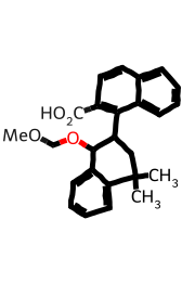 COCOC1c2ccccc2C(C)(C)CC1c1c(C(=O)O)ccc2ccccc12